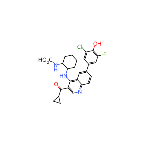 O=C(O)NC1CCCCC1Nc1c(C(=O)C2CC2)cnc2ccc(-c3cc(F)c(O)c(Cl)c3)cc12